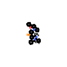 C=C(/N=C(\N=C(/C)c1ccccc1)c1ccccc1)c1cccc2[pH]c3ccc(-n4c5ccccc5c5ccc6c7ccccc7oc6c54)cc3c12